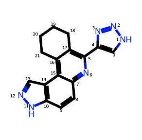 c1[nH]nnc1-c1nc2ccc3[nH]ncc3c2c2c1CCCC2